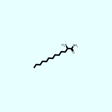 CCCCCCCCCCCC(N)C(N)=O